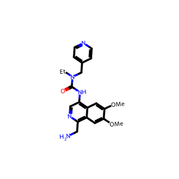 CCN(Cc1ccncc1)C(=O)Nc1cnc(CN)c2cc(OC)c(OC)cc12